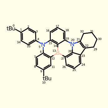 CC(C)(C)c1ccc(N2c3ccc(C(C)(C)C)cc3B3c4c2cccc4-n2c4c(c5cccc3c52)CCCC4)cc1